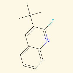 CC(C)(C)c1cc2ccccc2nc1F